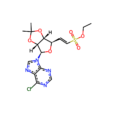 CCOS(=O)(=O)C=C[C@H]1O[C@@H](n2cnc3c(Cl)ncnc32)[C@@H]2OC(C)(C)O[C@@H]21